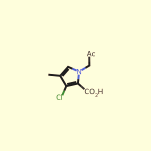 CC(=O)Cn1cc(C)c(Cl)c1C(=O)O